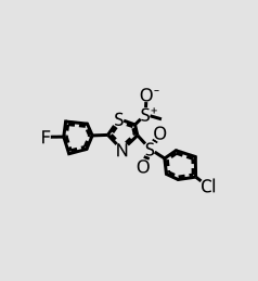 C[S+]([O-])c1sc(-c2ccc(F)cc2)nc1S(=O)(=O)c1ccc(Cl)cc1